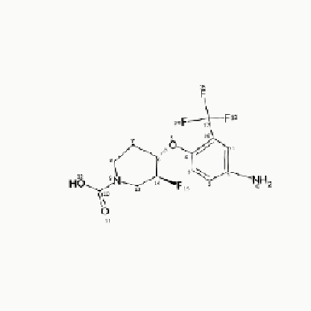 Nc1ccc(O[C@H]2CCN(C(=O)O)C[C@@H]2F)c(C(F)(F)F)c1